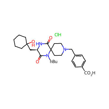 CCCCN1C(=O)[C@@H](CC2(O)CCCCC2)NC(=O)C12CCN(Cc1ccc(C(=O)O)cc1)CC2.Cl